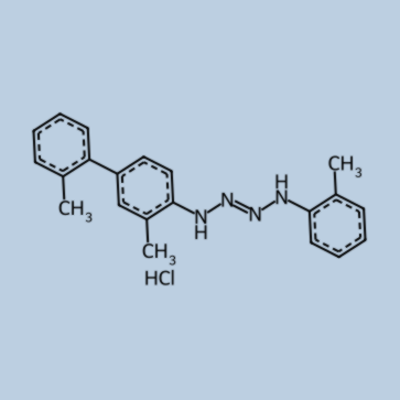 Cc1ccccc1NN=NNc1ccc(-c2ccccc2C)cc1C.Cl